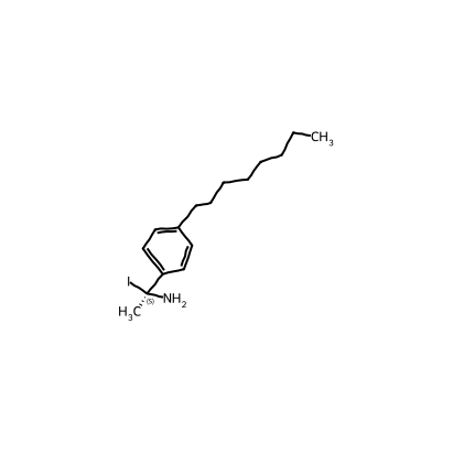 CCCCCCCCc1ccc([C@@](C)(N)I)cc1